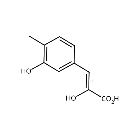 Cc1ccc(/C=C(\O)C(=O)O)cc1O